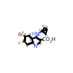 O=C(O)c1cnc2cc(F)c(Br)cc2c1NC12CC(C1)C2